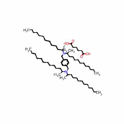 CCCCCCCCCCCC(C)N(Cc1ccc(CN(C(C)CCCCCCCCCCC)C(C)CCCCCCCCCCC)cc1)C(C)CCCCCCCCCCC.O=C(O)CCCCC(=O)O